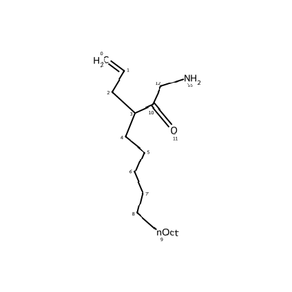 C=CCC(CCCCCCCCCCCCC)C(=O)CN